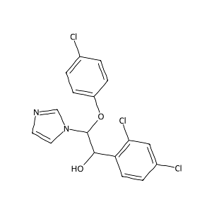 OC(c1ccc(Cl)cc1Cl)C(Oc1ccc(Cl)cc1)n1ccnc1